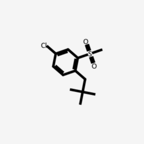 CC(C)(C)Cc1ccc(Cl)cc1S(C)(=O)=O